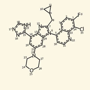 Fc1ccc2c(-n3c(CC4CC4)nc4c(-c5nnc[nH]5)cc(N5CCOCC5)cc43)ccnc2c1Cl